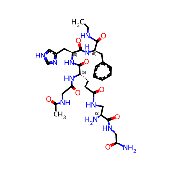 CCNC(=O)[C@@H](Cc1ccccc1)NC(=O)[C@H](Cc1c[nH]cn1)NC(=O)[C@H](CCC(=O)NC[C@H](N)C(=O)NCC(N)=O)NC(=O)CNC(C)=O